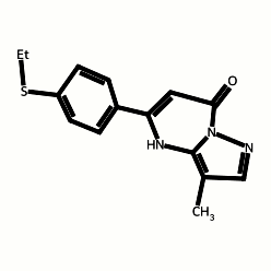 CCSc1ccc(-c2cc(=O)n3ncc(C)c3[nH]2)cc1